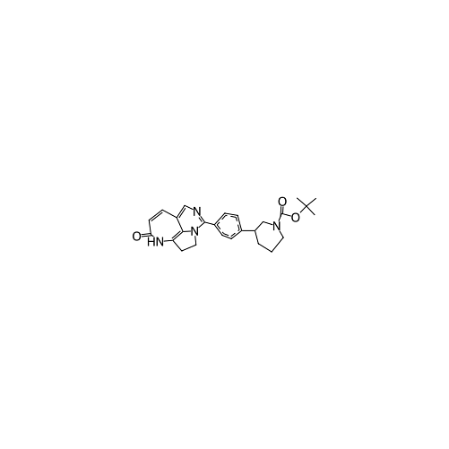 CC(C)(C)OC(=O)N1CCCC(c2ccc(C3=NC=C4C=CC(=O)NC5=C4N3CC5)cc2)C1